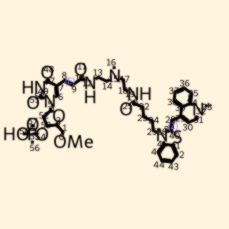 COCC1OC(n2cc(/C=C/C(=O)NCCN(C)CCNC(=O)CCCCN3/C(=C/c4cc[n+](C)c5ccccc45)Sc4ccccc43)c(=O)[nH]c2=O)CC1OP(C)(=O)O